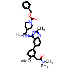 COc1ccc(-c2ccc3nc(C)nc(NC(C)C4CCN(C(=O)OCc5ccccc5)CC4)c3c2)cc1CC(=O)N(C)C